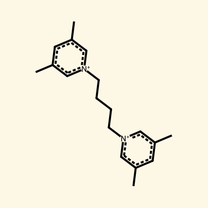 Cc1cc(C)c[n+](CCCC[n+]2cc(C)cc(C)c2)c1